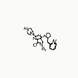 CC(=O)N1CCN(c2nc3c(c(N4CCCC4Cc4ccccn4)n2)CN(C(C)C)C3=O)CC1